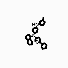 Cc1cccc(Nc2ccc(N(c3ccc(-c4ccccc4)cc3)c3cccc4ccccc34)cc2)c1